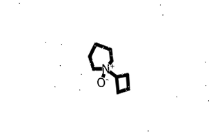 [O-][N+]1(C2CCC2)CCCCC1